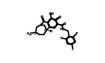 C[C@@H]1CC[C@H]2CN(C1)C(=O)c1c(O)c(=O)c(C(=O)NCc3c(F)cc(F)cc3F)cn12